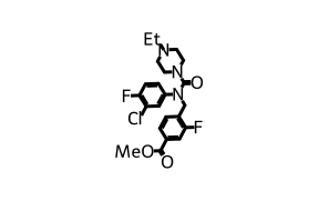 CCN1CCN(C(=O)N(Cc2ccc(C(=O)OC)cc2F)c2ccc(F)c(Cl)c2)CC1